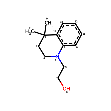 CC1(C)CCN(CCO)c2c[c]ccc21